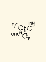 O=CN(c1cccc(C(F)(F)F)c1)c1ccc(F)nc1Nc1ccc2cn[nH]c2c1